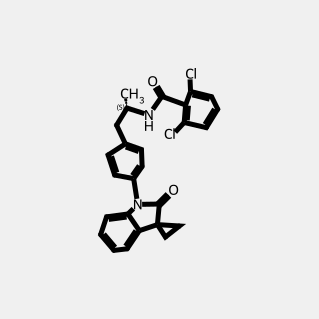 C[C@@H](Cc1ccc(N2C(=O)C3(CC3)c3ccccc32)cc1)NC(=O)c1c(Cl)cccc1Cl